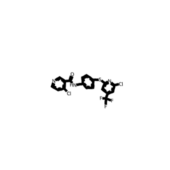 O=C(Nc1ccc(Sc2cc(C(F)(F)F)cc(Cl)n2)cc1)c1cnccc1Cl